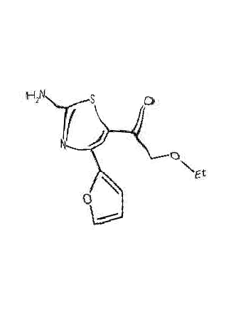 CCOCC(=O)c1sc(N)nc1-c1ccco1